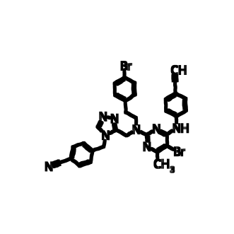 C#Cc1ccc(Nc2nc(N(CCc3ccc(Br)cc3)Cc3nncn3Cc3ccc(C#N)cc3)nc(C)c2Br)cc1